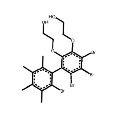 Cc1c(C)c(C)c(-c2c(Br)c(Br)c(Br)c(OCCO)c2OCCO)c(Br)c1C